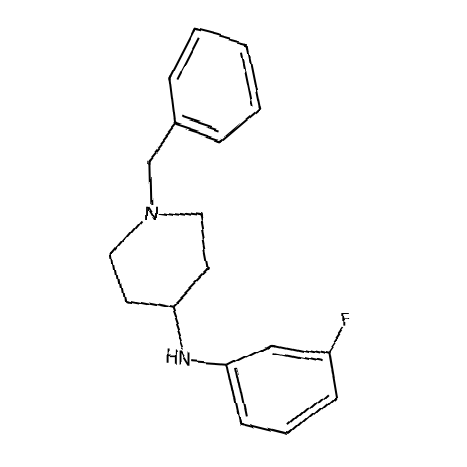 Fc1cccc(NC2CCN(Cc3ccccc3)CC2)c1